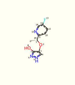 C[C@@H](Oc1c[nH]nc1O)c1ccc(F)cn1